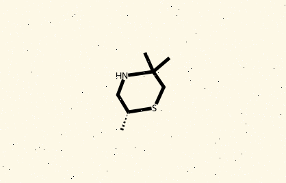 C[C@@H]1CNC(C)(C)CS1